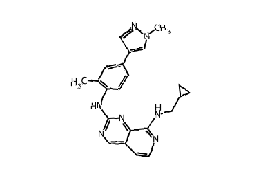 Cc1cc(-c2cnn(C)c2)ccc1Nc1ncc2ccnc(NCC3CC3)c2n1